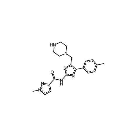 Cc1ccc(-c2nc(NC(=O)c3ccn(C)n3)sc2CN2CCNCC2)cc1